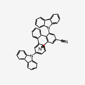 N#Cc1cc(C#N)c(-c2ccccc2-c2cccc(-n3c4ccccc4c4ccccc43)c2)c(-n2c3ccccc3c3ccccc32)c1